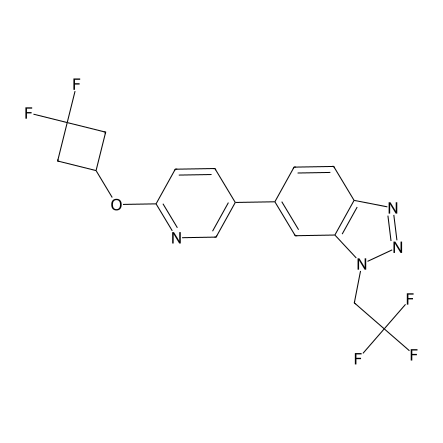 FC(F)(F)Cn1nnc2ccc(-c3ccc(OC4CC(F)(F)C4)nc3)cc21